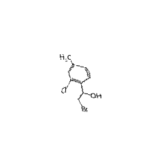 Cc1ccc(C(O)CBr)c(Cl)c1